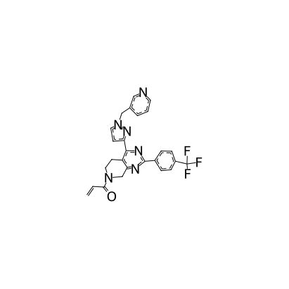 C=CC(=O)N1CCc2c(nc(-c3ccc(C(F)(F)F)cc3)nc2-c2ccn(Cc3cccnc3)n2)C1